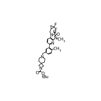 Cc1ccc(CN2CCC3(CC2)CN(C(=O)OC(C)(C)C)C3)cc1-c1ccc2c(n1)N(C)S(=O)(=O)N2CC1CC1(F)F